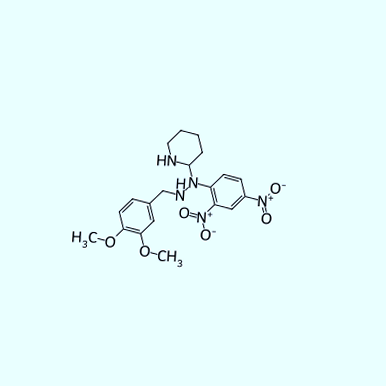 COc1ccc(CNN(c2ccc([N+](=O)[O-])cc2[N+](=O)[O-])C2CCCCN2)cc1OC